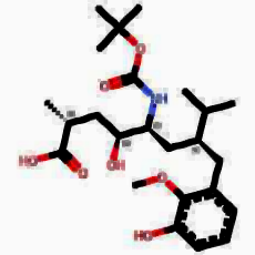 COc1c(O)cccc1C[C@@H](C[C@H](NC(=O)OC(C)(C)C)[C@@H](O)C[C@@H](C)C(=O)O)C(C)C